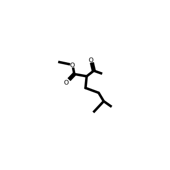 COC(=O)C(CCC(C)C)C(C)=O